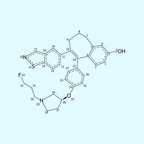 Oc1ccc2c(c1)CCCC(c1ccc3sncc3c1)=C2c1ccc(O[C@H]2CCN(CCCF)C2)cc1